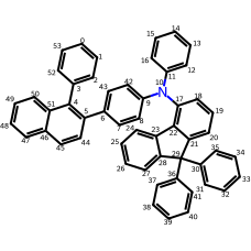 c1ccc(-c2c(-c3ccc(N(c4ccccc4)c4cccc5c4-c4ccccc4C5(c4ccccc4)c4ccccc4)cc3)ccc3ccccc23)cc1